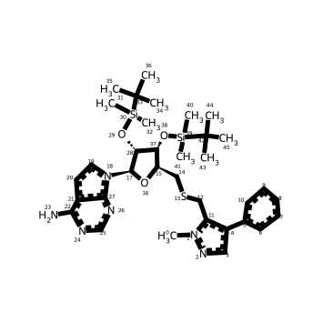 Cn1ncc(-c2ccccc2)c1CSC[C@H]1O[C@@H](n2ccc3c(N)ncnc32)[C@H](O[Si](C)(C)C(C)(C)C)[C@@H]1O[Si](C)(C)C(C)(C)C